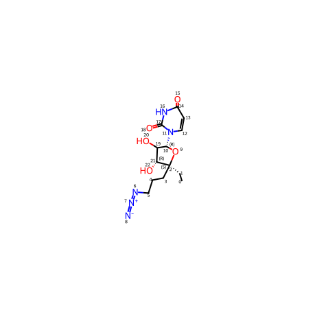 CC[C@@]1(CCCN=[N+]=[N-])O[C@@H](n2ccc(=O)[nH]c2=O)C(O)[C@H]1O